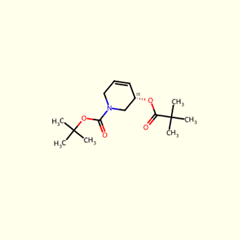 CC(C)(C)OC(=O)N1CC=C[C@H](OC(=O)C(C)(C)C)C1